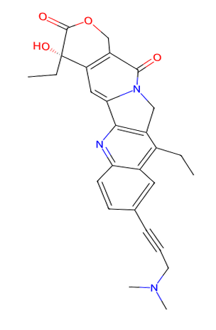 CCc1c2c(nc3ccc(C#CCN(C)C)cc13)-c1cc3c(c(=O)n1C2)COC(=O)[C@]3(O)CC